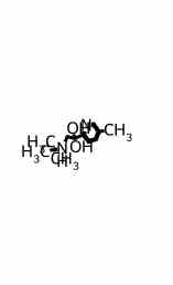 Cc1ccc(C(O)(O)CNC(C)(C)C)nc1